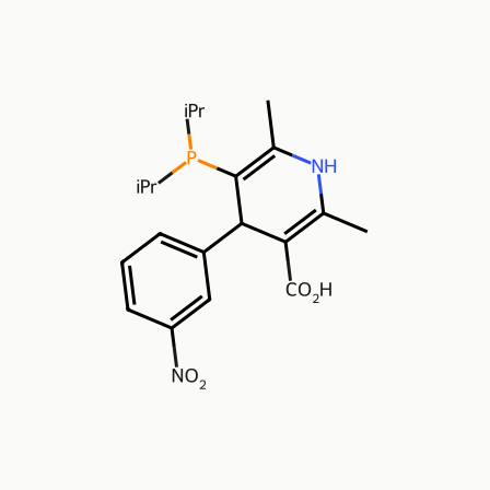 CC1=C(C(=O)O)C(c2cccc([N+](=O)[O-])c2)C(P(C(C)C)C(C)C)=C(C)N1